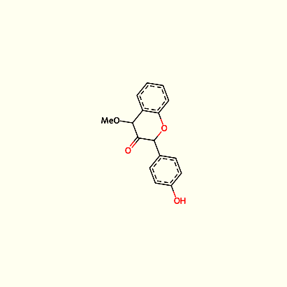 COC1C(=O)C(c2ccc(O)cc2)Oc2ccccc21